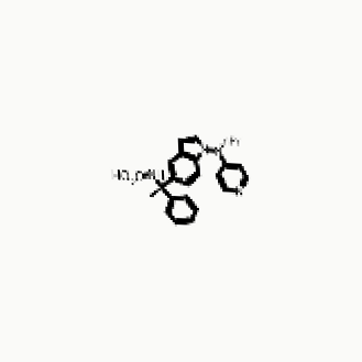 CCCN(c1ccncc1)n1ccc2cc([C@@](C)(NC(=O)O)c3ccccc3)ccc21